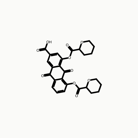 O=C(O)c1cc(OC(=O)C2CCCCO2)c2c(c1)C(=O)c1cccc(OC(=O)C3CCCCO3)c1C2=O